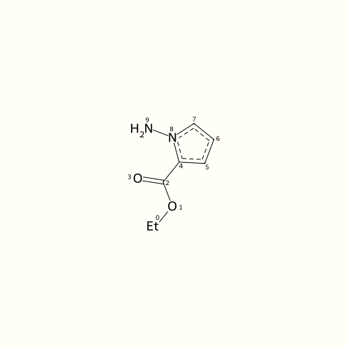 CCOC(=O)c1cccn1N